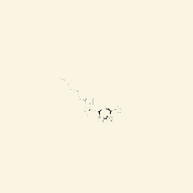 COCCCNC(=O)c1nnc(S)s1